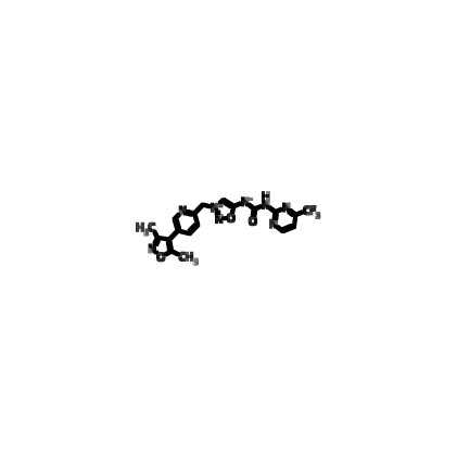 Cc1noc(C)c1-c1ccc(C[n+]2cc([N-]C(=O)Nc3nccc(C(F)(F)F)n3)on2)nc1